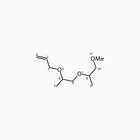 C=CCOC(C)COC(C)COC